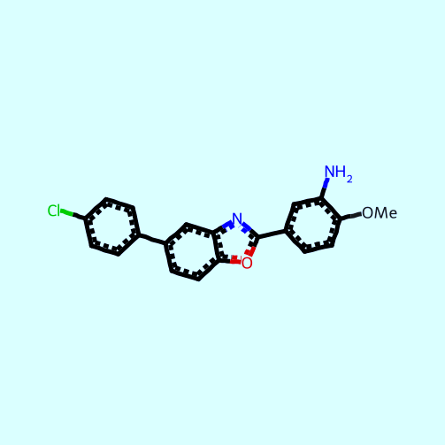 COc1ccc(-c2nc3cc(-c4ccc(Cl)cc4)ccc3o2)cc1N